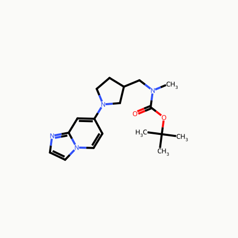 CN(CC1CCN(c2ccn3ccnc3c2)C1)C(=O)OC(C)(C)C